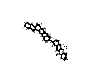 O=C1c2ccccc2C(=O)c2cc3cc(-c4ccc5cc6cc7c(ccc8cc9ccccc9cc87)cc6cc5c4)ccc3cc21